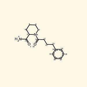 NC(=O)C1[CH]CCCN1C(=O)CCCc1ccccc1